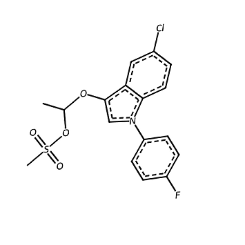 CC(Oc1cn(-c2ccc(F)cc2)c2ccc(Cl)cc12)OS(C)(=O)=O